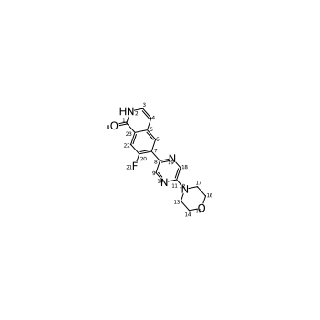 O=c1[nH]ccc2cc(-c3cnc(N4CCOCC4)cn3)c(F)cc12